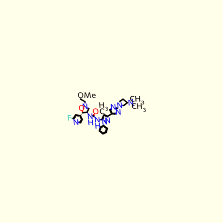 COCCN1C[C@@H](NC(=O)Nc2c(C)c(-c3cnc(N4CC[C@H](N(C)C)C4)nc3)nn2-c2ccccc2)[C@H](c2ccnc(F)c2)O1